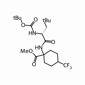 COC(=O)C1(NC(=O)[C@@H](CC(C)(C)C)NC(=O)OC(C)(C)C)CCC(C(F)(F)F)CC1